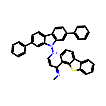 C/N=C(\C=C/Nn1c2cc(-c3ccccc3)ccc2c2ccc(-c3ccccc3)cc21)c1cccc2c1sc1ccccc12